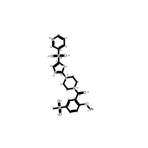 CC(C)Oc1ccc(S(C)(=O)=O)cc1C(=O)N1CCN(c2ncc(S(=O)(=O)c3cccnc3)s2)CC1